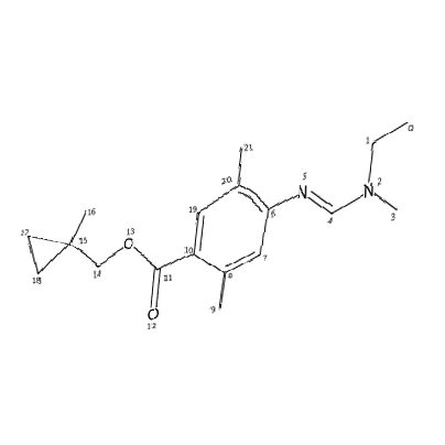 CCN(C)/C=N/c1cc(C)c(C(=O)OCC2(C)CC2)cc1C